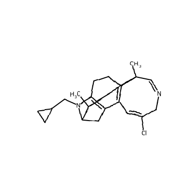 CC1C2CC3=C(CCC4=C3/C=C(/Cl)C/N=C\C41C)N2CC1CC1